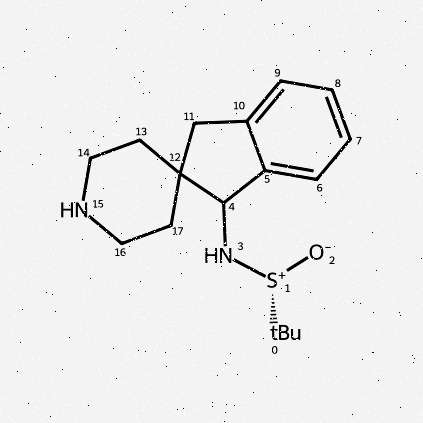 CC(C)(C)[S@@+]([O-])NC1c2ccccc2CC12CCNCC2